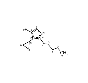 CCCCCn1n[c]c(F)c1C1CC1